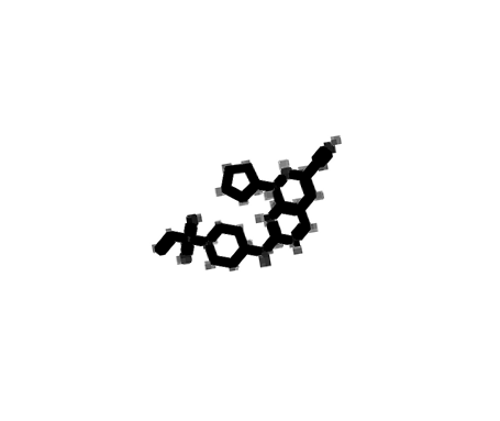 C=CS(=O)(=O)N1CCC(Nc2ncc3c(n2)N(C2CCCC2)OC(C#N)=C3)CC1